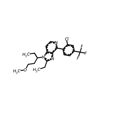 CCc1nc2c(-c3ccc(C(F)(F)F)cc3Cl)nccc2n1C(CC)CCOC